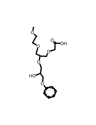 COCCOCC(COCC(=O)O)OCC(O)COc1ccccc1